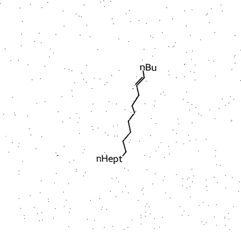 [CH2]CCCC=CCCCCCCCCCCCCC[CH2]